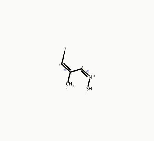 CC(/C=N\S)=C/I